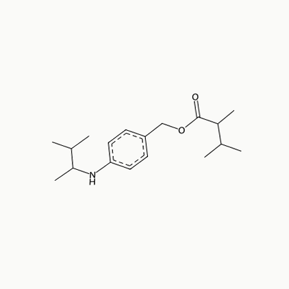 CC(C)C(C)Nc1ccc(COC(=O)C(C)C(C)C)cc1